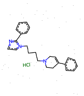 C1=C(c2ccccc2)CCN(CCCCn2ccnc2-c2ccccc2)C1.Cl